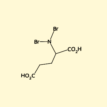 O=C(O)CCC(C(=O)O)N(Br)Br